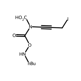 CCCCNOC(=O)N(C#CCI)C(=O)O